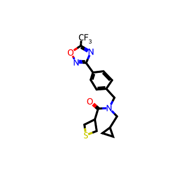 O=C(C1CSC1)N(Cc1ccc(-c2noc(C(F)(F)F)n2)cc1)CC1CC1